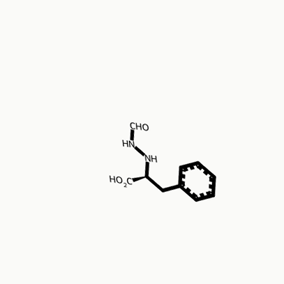 O=CNN[C@@H](Cc1ccccc1)C(=O)O